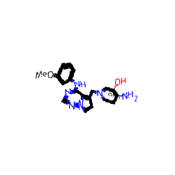 COc1cccc(NC2=NC=NN3CCC(CN4CC[C@@H](N)[C@@H](O)C4)=C23)c1